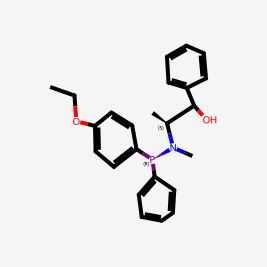 CCOc1ccc([P@](c2ccccc2)N(C)[C@@H](C)C(O)c2ccccc2)cc1